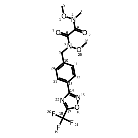 CON(C)C(=O)C(=O)N(Cc1ccc(-c2noc(C(F)(F)F)n2)cc1)OC